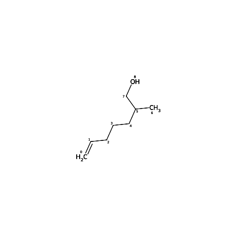 C=CCCCC(C)CO